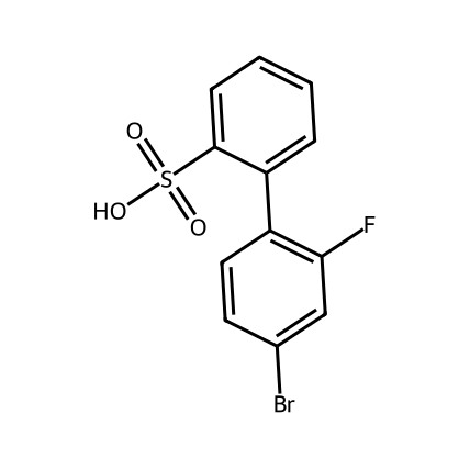 O=S(=O)(O)c1ccccc1-c1ccc(Br)cc1F